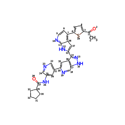 CC(=O)c1ccc(-c2ccnc3[nH]c(-c4n[nH]c5cnc(-c6cncc(NC(=O)C7CCCC7)c6)cc45)cc23)s1